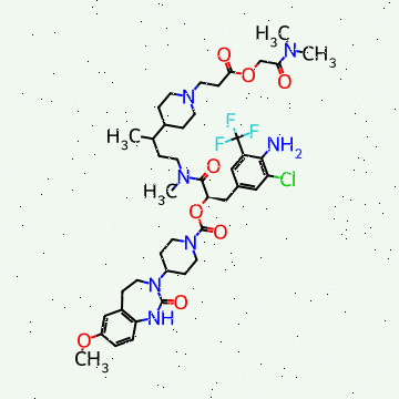 COc1ccc2c(c1)CCN(C1CCN(C(=O)O[C@H](Cc3cc(Cl)c(N)c(C(F)(F)F)c3)C(=O)N(C)CCC(C)C3CCN(CCC(=O)OCC(=O)N(C)C)CC3)CC1)C(=O)N2